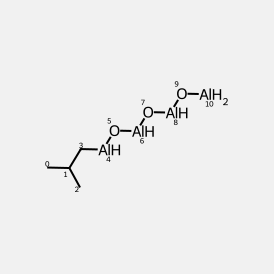 CC(C)[CH2][AlH][O][AlH][O][AlH][O][AlH2]